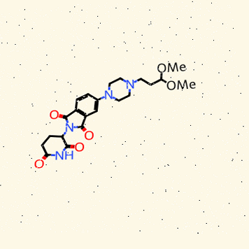 COC(CCN1CCN(c2ccc3c(c2)C(=O)N(C2CCC(=O)NC2=O)C3=O)CC1)OC